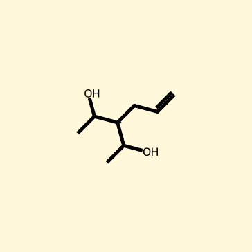 C=CC[C](C(C)O)C(C)O